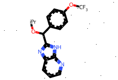 CC(C)OC(c1ccc(OC(F)(F)F)cc1)c1nc2cccnc2[nH]1